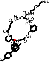 NCCOCCNC(=O)[C@@H]1CCNC(=O)/C=C/C(=O)N2CCC[C@](Cc3ccccc3)(C2)C(=O)N[C@@H](Cc2ccc(-c3ccc(CS(=O)(=O)O)cc3)cc2)C(=O)NCc2ccccc2CC(=O)N1